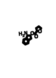 N[C@H]1c2ccccc2C[C@H]1OC(=O)C1CCCO1